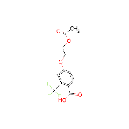 CC(=O)OCCOc1ccc(C(=O)O)c(C(F)(F)F)c1